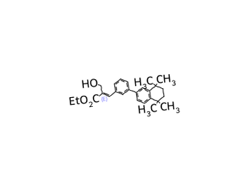 CCOC(=O)/C(=C/c1cccc(-c2ccc3c(c2)C(C)(C)CCC3(C)C)c1)CO